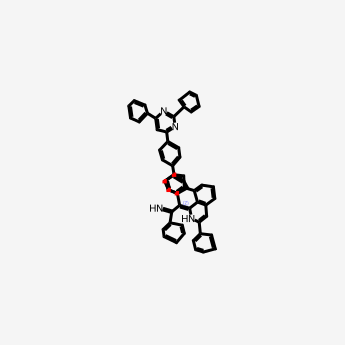 N=C(/C(=C1\NC(c2ccccc2)=Cc2cccc(-c3cccc(-c4ccc(-c5cc(-c6ccccc6)nc(-c6ccccc6)n5)cc4)c3)c21)c1ccccc1)c1ccccc1